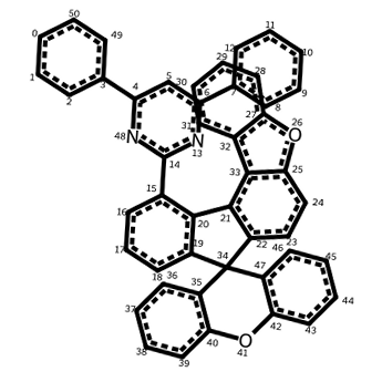 c1ccc(-c2cc(-c3ccccc3)nc(-c3cccc4c3-c3c(ccc5oc6ccccc6c35)C43c4ccccc4Oc4ccccc43)n2)cc1